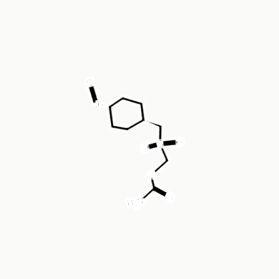 NC(=O)OCS(=O)(=O)C[C@H]1CC[C@H](C=O)CC1